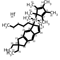 CCCCC[C]1([Hf]([CH3])([CH3])[C]2(C)C(C)=C(C)C(C)=C2C)C=Cc2cc3c(cc21)CC(CC)(CC)C3.[Hf]